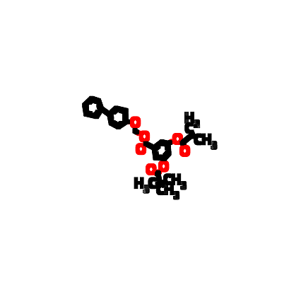 C=C(C)C(=O)Oc1cc(OC(=O)C(C)(C)C)cc(C(=O)OCOc2ccc(-c3ccccc3)cc2)c1